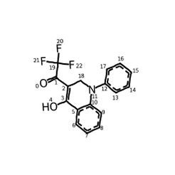 O=C(C1=C(O)c2ccccc2N(c2ccccc2)C1)C(F)(F)F